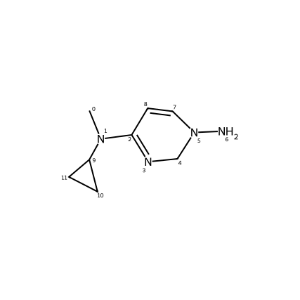 CN(C1=NCN(N)C=C1)C1CC1